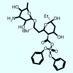 CC[C@]1(O)CC(O)[C@@H](C(=O)OP(=O)(Oc2ccccc2)Oc2ccccc2)C(C[C@@H](OC2OC(C)C(O)C(N)C2O)C(C)(C)C)O1